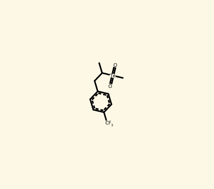 CC(Cc1ccc(C(F)(F)F)cc1)[Te](C)(=O)=O